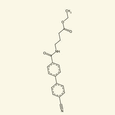 CCOC(=O)CCCNC(=O)c1ccc(-c2ccc(C#N)cc2)cc1